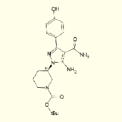 CC(C)(C)OC(=O)N1CCC[C@@H](n2nc(-c3ccc(O)cc3)c(C(N)=O)c2N)C1